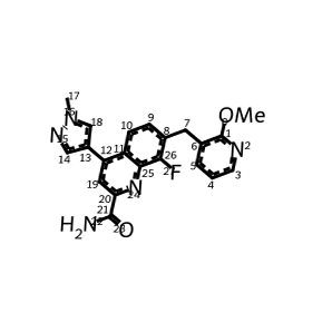 COc1ncccc1Cc1ccc2c(-c3cnn(C)c3)cc(C(N)=O)nc2c1F